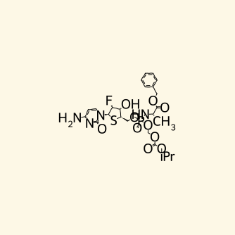 CC(C)OC(=O)OCOP(=O)(N[C@@H](C)C(=O)OCc1ccccc1)OC[C@H]1S[C@@H](n2ccc(N)nc2=O)[C@@H](F)[C@@H]1O